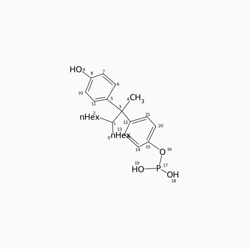 CCCCCCC(CCCCCC)C(C)(c1ccc(O)cc1)c1ccc(OP(O)O)cc1